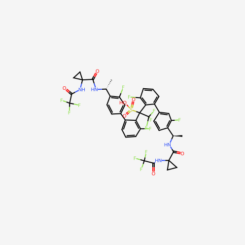 C[C@@H](NC(=O)C1(NC(=O)C(F)(F)F)CC1)c1ccc(-c2cccc(F)c2C(c2c(F)cccc2-c2ccc([C@@H](C)NC(=O)C3(NC(=O)C(F)(F)F)CC3)c(F)c2)(C(F)(F)F)S(=O)(=O)O)cc1F